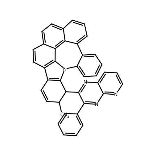 CC1C=Cc2c(n3c4ccccc4c4cccc5ccc6ccc2c3c6c54)C1c1nc2cccnc2nc1-c1ccccc1